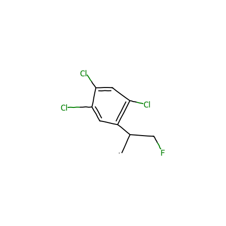 [CH2]C(CF)c1cc(Cl)c(Cl)cc1Cl